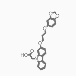 O=C(O)Cn1c2ccccc2c2ccc(OCCCOc3ccc4c(c3)OCO4)cc21